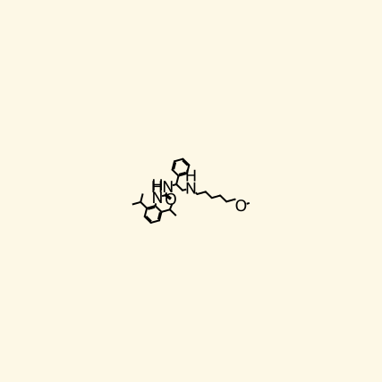 COCCCCCCNCC(NC(=O)Nc1c(C(C)C)cccc1C(C)C)c1ccccc1